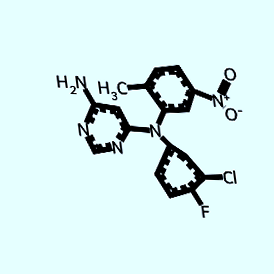 Cc1ccc([N+](=O)[O-])cc1N(c1ccc(F)c(Cl)c1)c1cc(N)ncn1